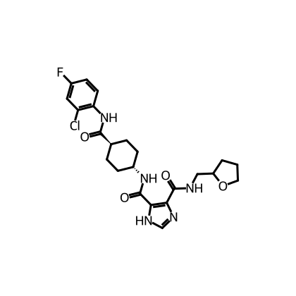 O=C(NCC1CCCO1)c1nc[nH]c1C(=O)N[C@H]1CC[C@H](C(=O)Nc2ccc(F)cc2Cl)CC1